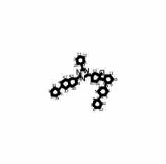 c1ccc(-c2ccc(-c3cccc4oc5cc(-c6nc(-c7ccccc7)nc(-c7ccc8cc(-c9ccccc9)ccc8c7)n6)ccc5c34)cc2)cc1